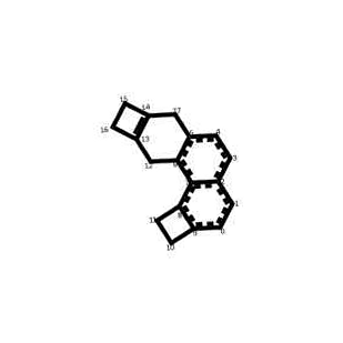 c1cc2ccc3c(c2c2c1CC2)CC1=C(CC1)C3